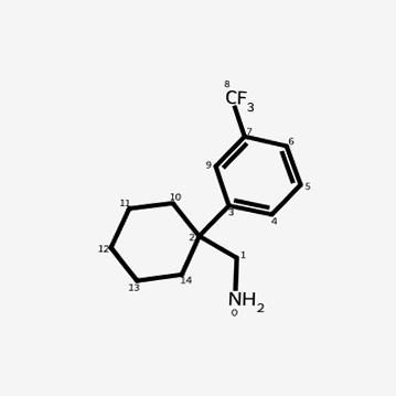 NCC1(c2cccc(C(F)(F)F)c2)CCCCC1